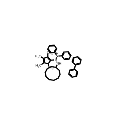 CC1=C(C)C(C)[C]([Hf]([NH]C2CCCCCCCCC2)[SiH](c2ccccc2)c2ccccc2)=C1C.c1ccc(-c2ccccc2)cc1